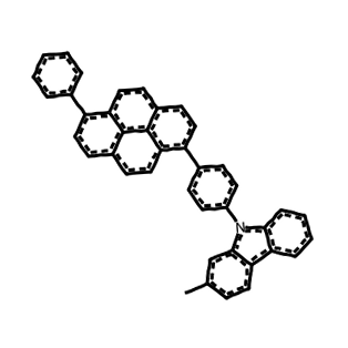 Cc1ccc2c3ccccc3n(-c3ccc(-c4ccc5ccc6c(-c7ccccc7)ccc7ccc4c5c76)cc3)c2c1